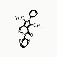 Cc1c2cnn(-c3ncccn3)c(=O)c2c(C)n1-c1ccccc1